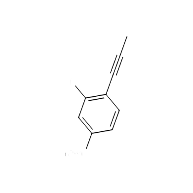 CC#Cc1ccc(CCCCC)cc1F